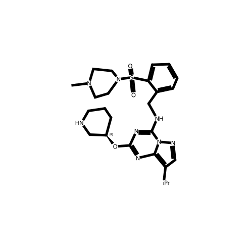 CC(C)c1cnn2c(NCc3ccccc3S(=O)(=O)N3CCN(C)CC3)nc(O[C@@H]3CCCNC3)nc12